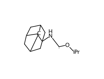 CC(C)O[CH]NC12CC3CC(CC(C3)C1)C2